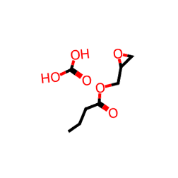 CCCC(=O)OCC1CO1.O=C(O)O